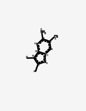 Cc1nn2cc(C#N)c(N)nc2c1C